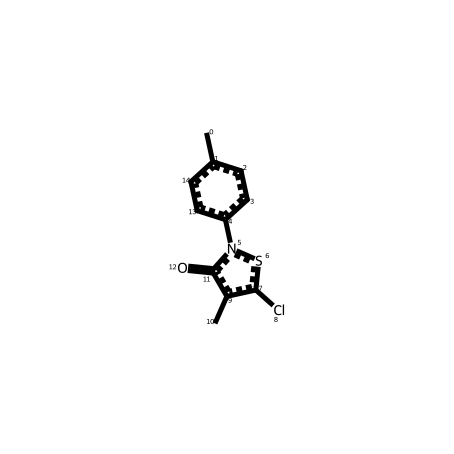 Cc1ccc(-n2sc(Cl)c(C)c2=O)cc1